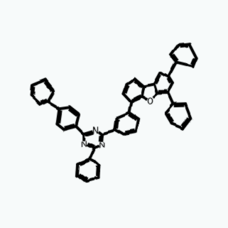 c1ccc(-c2ccc(-c3nc(-c4ccccc4)nc(-c4cccc(-c5cccc6c5oc5c(-c7ccccc7)cc(-c7ccccc7)cc56)c4)n3)cc2)cc1